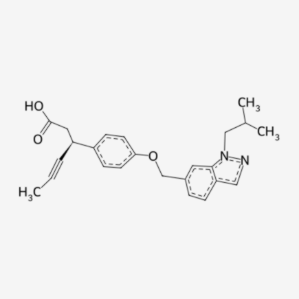 CC#C[C@@H](CC(=O)O)c1ccc(OCc2ccc3cnn(CC(C)C)c3c2)cc1